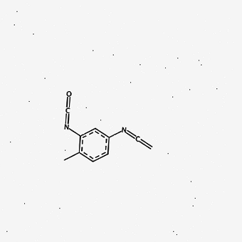 C=C=Nc1ccc(C)c(N=C=O)c1